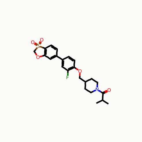 CC(C)C(=O)N1CCC(COc2ccc(-c3ccc4c(c3)OCS4(=O)=O)cc2F)CC1